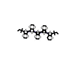 CCC(C)(C)C1S/C(=C2/S/C(=c3/s/c(=c4/s/c(=C5/SC(C(C)(C)CC)C6=C5CCCO6)c5c4OCCO5)c4c3OCCO4)C3OCCOC23)C2=C1OCCO2